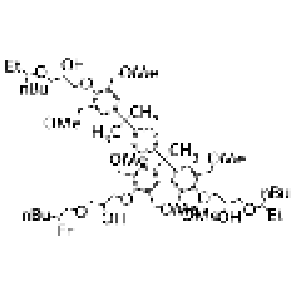 CCCCC(CC)COCC(O)COc1c(COC)cc(C(C)(c2ccc(C(C)(C)c3cc(COC)c(OCC(O)COC(CC)CCCC)c(COC)c3)cc2)c2cc(COC)c(OCC(O)COC(CC)CCCC)c(COC)c2)cc1COC